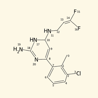 Cc1c(Cl)cccc1C1=CC(NCC=C(F)F)NC(N)=N1